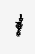 CCOC(C(=O)NCc1ccc(C#N)cc1)c1c(F)cc(OCc2ccccc2)cc1F